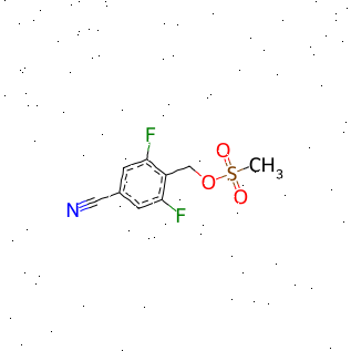 CS(=O)(=O)OCc1c(F)cc(C#N)cc1F